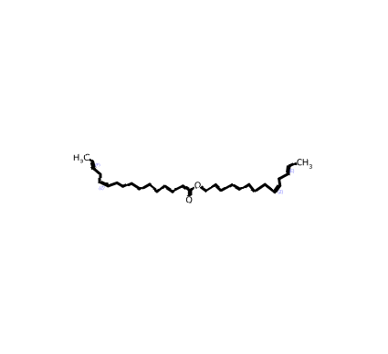 C/C=C/C/C=C\CCCCCCCCCC(=O)OCCCCCCCC/C=C\C/C=C/C